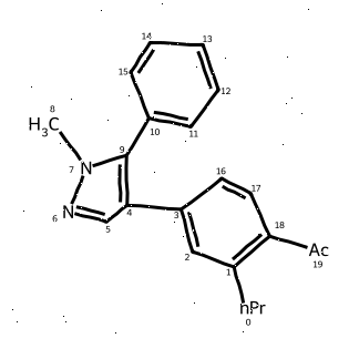 CCCc1cc(-c2cnn(C)c2-c2ccccc2)ccc1C(C)=O